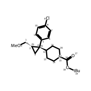 COC[C@H]1C[C@]1(c1ccc(Cl)cc1)C1CCN(C(=O)OC(C)(C)C)CC1